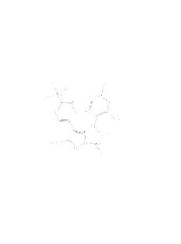 Cc1nn2c(c1-c1ccc(C(F)(F)F)cc1)C(c1ccc(F)cc1F)=NC2=O